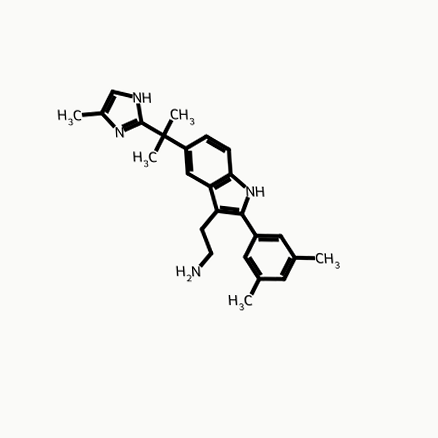 Cc1cc(C)cc(-c2[nH]c3ccc(C(C)(C)c4nc(C)c[nH]4)cc3c2CCN)c1